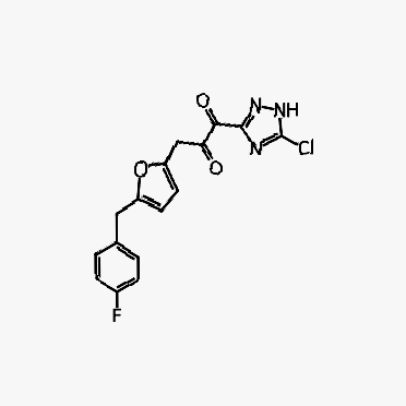 O=C(Cc1ccc(Cc2ccc(F)cc2)o1)C(=O)c1n[nH]c(Cl)n1